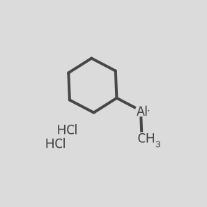 Cl.Cl.[CH3][Al][CH]1CCCCC1